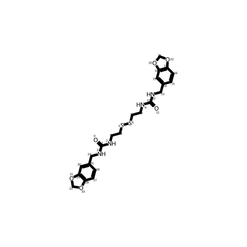 O=C(NCCSSCCNC(=O)NCc1ccc2c(c1)OCO2)NCc1ccc2c(c1)OCO2